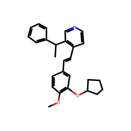 COc1ccc(/C=C/c2ccncc2C(C)c2ccccc2)cc1OC1CCCC1